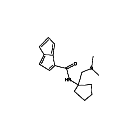 CN(C)CC1(NC(=O)C2=CC=C3C=CC=C32)CCCC1